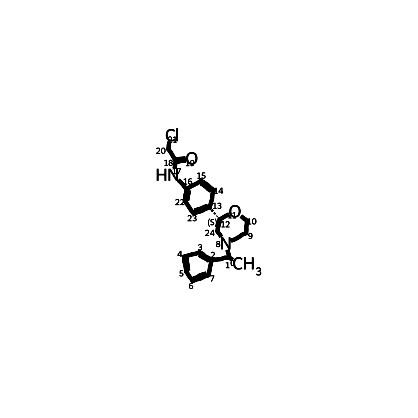 CC(c1ccccc1)N1CCO[C@@H](c2ccc(NC(=O)CCl)cc2)C1